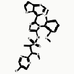 COc1cccc(OC)c1-n1c(NS(=O)(=O)C(C)C(OC)c2ncc(Cl)cn2)nnc1-c1ncnc2cc[nH]c12